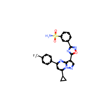 NS(=O)(=O)c1cccc(-c2noc(-c3cnn4c(C5CC5)cc(-c5ccc(C(F)(F)F)cc5)nc34)n2)c1